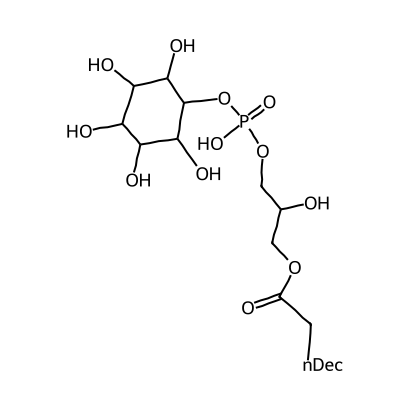 CCCCCCCCCCCC(=O)OCC(O)COP(=O)(O)OC1C(O)C(O)C(O)C(O)C1O